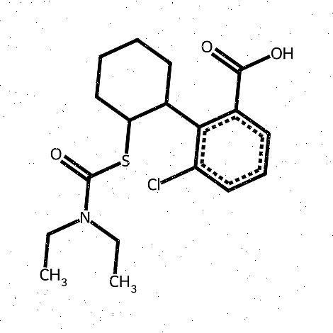 CCN(CC)C(=O)SC1CCCCC1c1c(Cl)cccc1C(=O)O